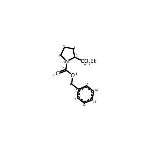 CCOC(=O)C1CCCN1C(=O)OCc1ccccc1